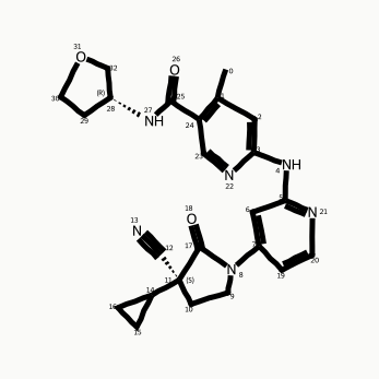 Cc1cc(Nc2cc(N3CC[C@@](C#N)(C4CC4)C3=O)ccn2)ncc1C(=O)N[C@@H]1CCOC1